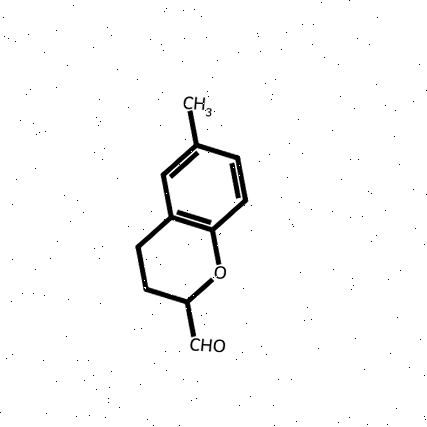 Cc1ccc2c(c1)CCC(C=O)O2